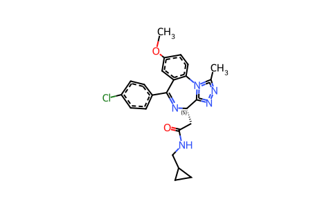 COc1ccc2c(c1)C(c1ccc(Cl)cc1)=N[C@@H](CC(=O)NCC1CC1)c1nnc(C)n1-2